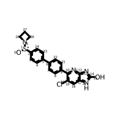 [O-][S+](c1ccc(-c2ccc(-c3nc4nc(O)[nH]c4cc3Cl)cc2)cc1)N1CCC1